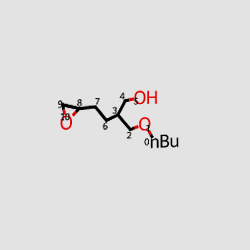 CCCCOCC(CO)CCC1CO1